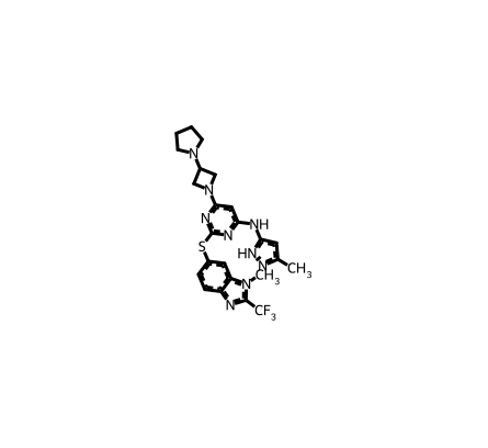 Cc1cc(Nc2cc(N3CC(N4CCCC4)C3)nc(Sc3ccc4nc(C(F)(F)F)n(C)c4c3)n2)[nH]n1